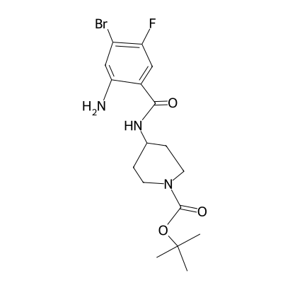 CC(C)(C)OC(=O)N1CCC(NC(=O)c2cc(F)c(Br)cc2N)CC1